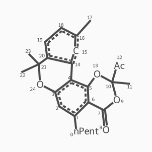 CCCCCc1cc2c(c3c1C(=O)OC(C)(C(C)=O)O3)-c1cc(C)ccc1C(C)(C)O2